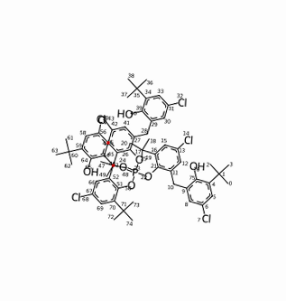 CC(C)(C)c1cc(Cl)cc(Cc2cc(Cl)cc(C(C)(C)C)c2OP(=O)(Oc2c(Cc3cc(Cl)cc(C(C)(C)C)c3O)cc(Cl)cc2C(C)(C)C)Oc2c(Cc3cc(Cl)cc(C(C)(C)C)c3O)cc(Cl)cc2C(C)(C)C)c1O